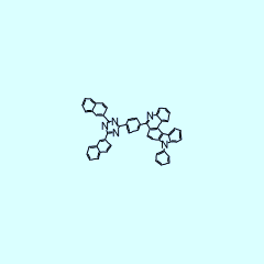 c1ccc(-n2c3ccccc3c3c4c(ccc32)c(-c2ccc(-c3nc(-c5ccc6ccccc6c5)nc(-c5ccc6ccccc6c5)n3)cc2)nc2ccccc24)cc1